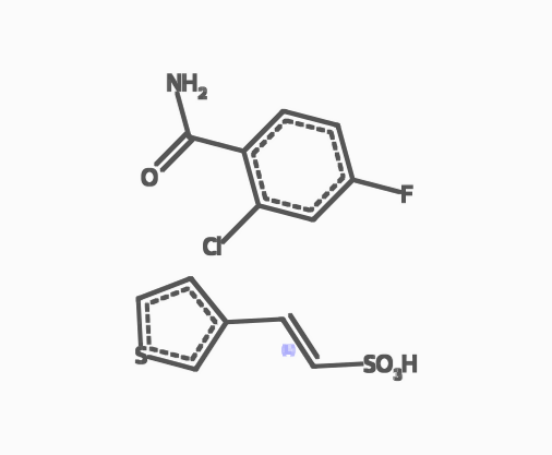 NC(=O)c1ccc(F)cc1Cl.O=S(=O)(O)/C=C/c1ccsc1